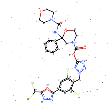 O=C(NC1(c2ccccc2)CN(C(=O)Oc2nnn(Cc3c(F)cc(-c4nnc(C(F)F)o4)cc3F)n2)CCO1)N1CCOCC1